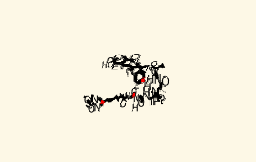 CC[C@@]1(O)C(=O)OCc2c1cc1n(c2=O)Cc2c-1nc1cc(F)c(C)cc1c2CNC(=O)[C@H](OCNC(=O)[C@H](C)NC(=O)[C@@H](NC(=O)CNC(=O)CNC(=O)CCCC#Cc1cnc(S(C)(=O)=O)nc1)C(C)C)C1CC1